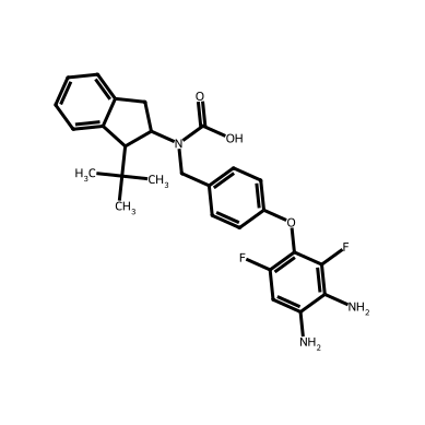 CC(C)(C)C1c2ccccc2CC1N(Cc1ccc(Oc2c(F)cc(N)c(N)c2F)cc1)C(=O)O